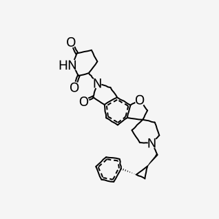 O=C1CCC(N2Cc3c(ccc4c3OCC43CCN(C[C@H]4C[C@@H]4c4ccccc4)CC3)C2=O)C(=O)N1